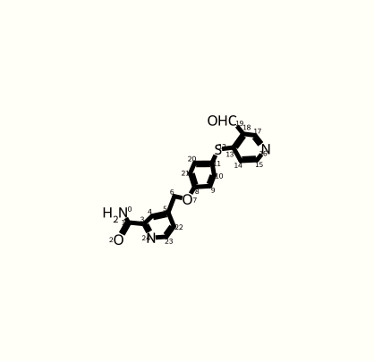 NC(=O)c1cc(COc2ccc(Sc3ccncc3C=O)cc2)ccn1